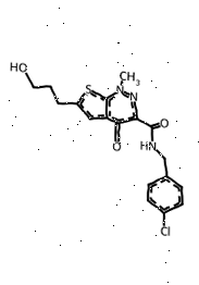 Cn1nc(C(=O)NCc2ccc(Cl)cc2)c(=O)c2cc(CCCO)sc21